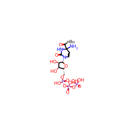 CCCCC(=O)C1(N)C=CN([C@@H]2O[C@H](COP(=O)(O)OP(=O)(O)OP(=O)(O)O)[C@@H](O)[C@H]2O)C(=O)N1